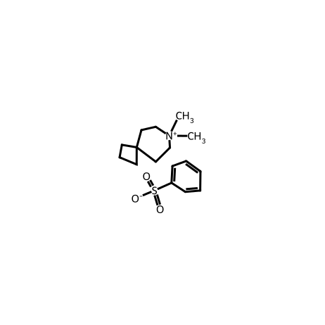 C[N+]1(C)CCC2(CCC2)CC1.O=S(=O)([O-])c1ccccc1